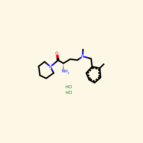 Cc1ccccc1CN(C)CC[C@H](N)C(=O)N1CCCCC1.Cl.Cl